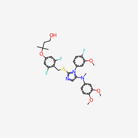 COc1cc(-n2c(N(C)c3ccc(OC)c(OC)c3)cnc2SCc2c(F)cc(OC(C)(C)CCO)cc2F)ccc1F